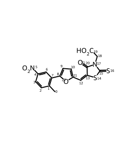 Cc1ccc([N+](=O)[O-])cc1-c1ccc(/C=C2/SC(=S)N(CC(=O)O)C2=O)o1